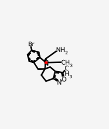 Cc1onc2c1CC1(CC2)Cc2ccc(Br)cc2C12N=C(N)N(C)O2